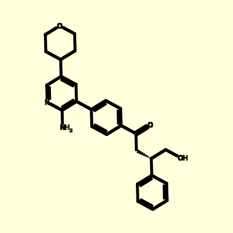 Nc1ncc(C2CCOCC2)cc1-c1ccc(C(=O)C[C@H](CO)c2ccccc2)cc1